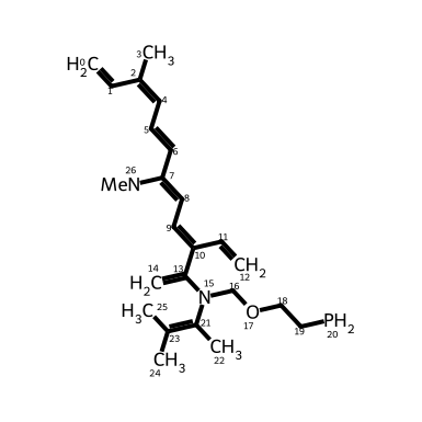 C=C\C(C)=C/C=C/C(=C/C=C(\C=C)C(=C)N(COCCP)C(C)=C(C)C)NC